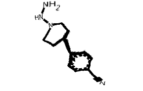 N#Cc1ccc(C2CCN(NN)CC2)cc1